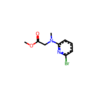 COC(=O)CN(C)c1cccc(Br)n1